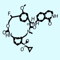 COc1cc2ccc1C(F)COC(=O)Nc1ccc(S(=O)(=O)C3CC3)c(c1)CN(C)C(=O)[C@@H]2Nc1ccc2cc[nH]c(=O)c2c1